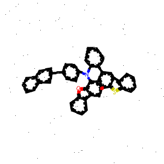 c1ccc(N(c2ccc(-c3ccc4ccccc4c3)cc2)c2cccc3c2oc2ccccc23)c(-c2ccc3sc4ccccc4c3c2)c1